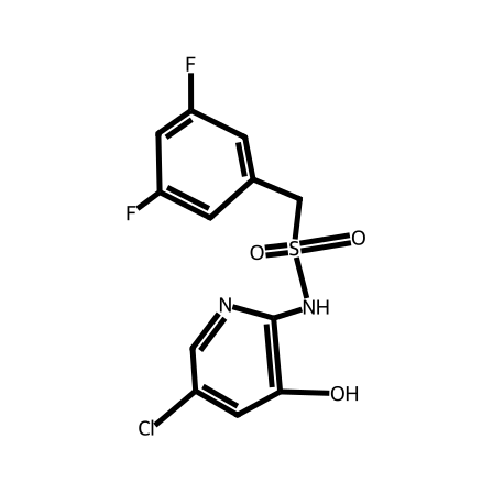 O=S(=O)(Cc1cc(F)cc(F)c1)Nc1ncc(Cl)cc1O